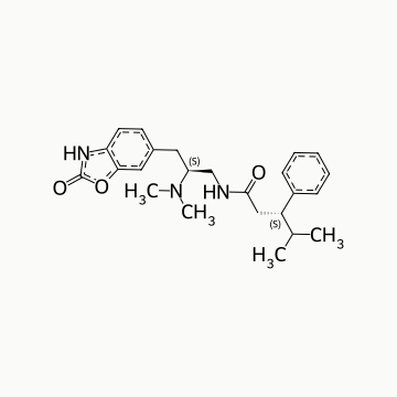 CC(C)[C@H](CC(=O)NC[C@H](Cc1ccc2[nH]c(=O)oc2c1)N(C)C)c1ccccc1